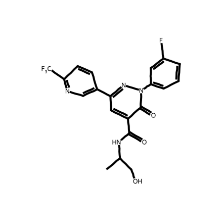 CC(CO)NC(=O)c1cc(-c2ccc(C(F)(F)F)nc2)nn(-c2cccc(F)c2)c1=O